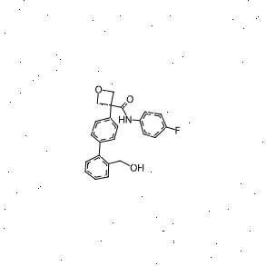 O=C(Nc1ccc(F)cc1)C1(c2ccc(-c3ccccc3CO)cc2)COC1